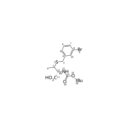 CC(SCc1cccc(Br)c1)[C@H](NC(=O)OC(C)(C)C)C(=O)O